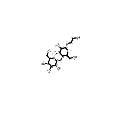 OCC1O[C@@H](O[C@@H]2C(CO)O[C@@H](OCCS)C(O)[C@H]2O)[C@H](O)C(O)[C@H]1O